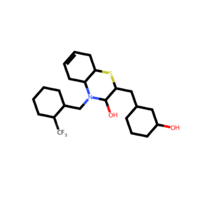 OC1CCCC(CC2SC3CC=CCC3N(CC3CCCCC3C(F)(F)F)C2O)C1